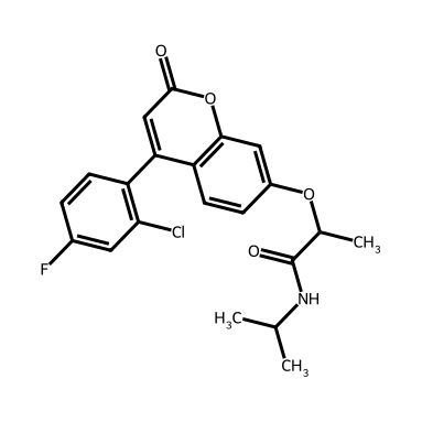 CC(C)NC(=O)C(C)Oc1ccc2c(-c3ccc(F)cc3Cl)cc(=O)oc2c1